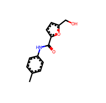 Cc1ccc(NC(=O)c2ccc(CO)o2)cc1